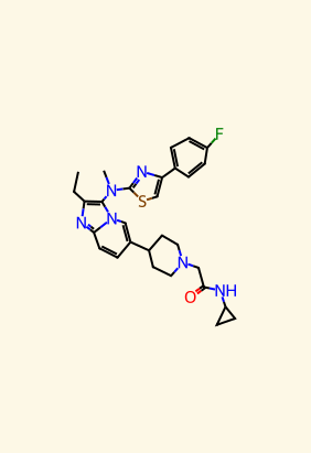 CCc1nc2ccc(C3CCN(CC(=O)NC4CC4)CC3)cn2c1N(C)c1nc(-c2ccc(F)cc2)cs1